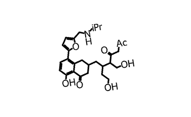 CC(=O)CC(=O)C(CO)C(CCO)CC1CC(=O)c2c(O)ccc(-c3ccc(CNC(C)C)o3)c2C1